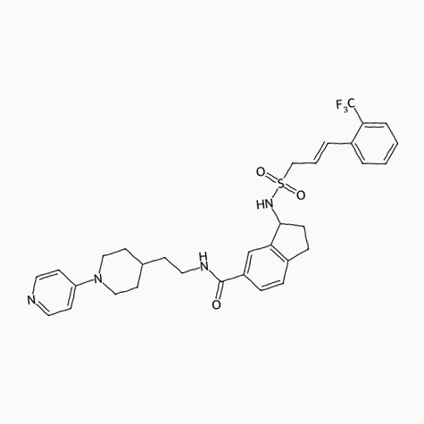 O=C(NCCC1CCN(c2ccncc2)CC1)c1ccc2c(c1)C(NS(=O)(=O)CC=Cc1ccccc1C(F)(F)F)CC2